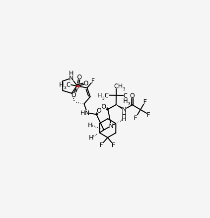 CC(C)(C)[C@@H](NC(=O)C(F)(F)F)C(=O)N1[C@H]2CC[C@@H]([C@H]1C(=O)N[C@@H](/C=C(/F)S(C)(=O)=O)C[C@@H]1CCNC1=O)C(F)(F)C2